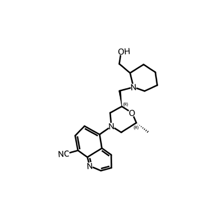 C[C@@H]1CN(c2ccc(C#N)c3ncccc23)C[C@@H](CN2CCCCC2CO)O1